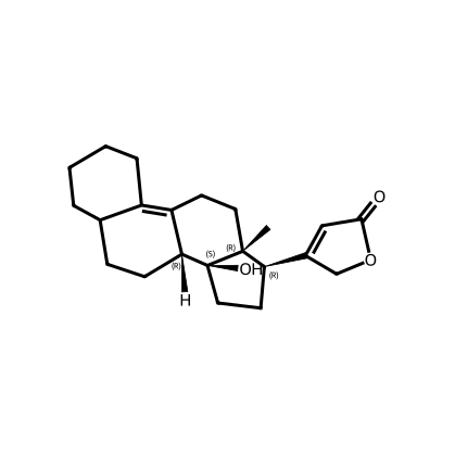 C[C@]12CCC3=C4CCCCC4CC[C@H]3[C@@]1(O)CC[C@@H]2C1=CC(=O)OC1